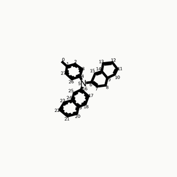 Cc1ccc(N(C2=CCC3C=CC=CC3=C2)c2ccc3ccccc3c2)cc1